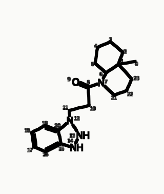 CC12CCCCC1N(C(=O)CCN1NNc3ccccc31)CCC2